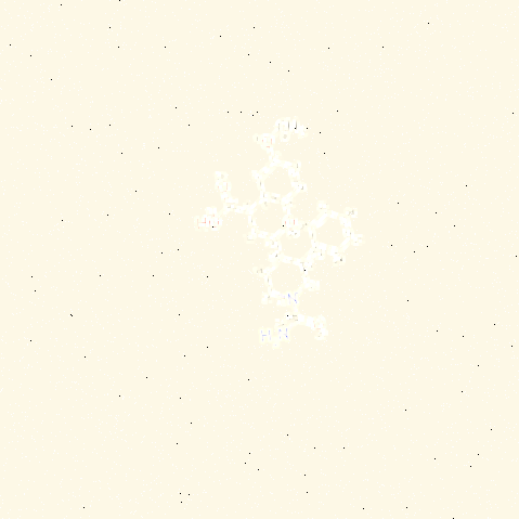 COc1ccc2c(c1)C(C(=O)O)CC(C1CCN(C(N)=O)CC1c1ccccc1)O2